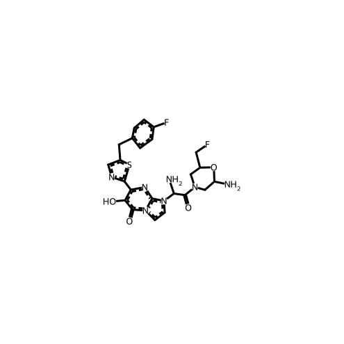 NC1CN(C(=O)C(N)n2ccn3c(=O)c(O)c(-c4ncc(Cc5ccc(F)cc5)s4)nc23)CC(CF)O1